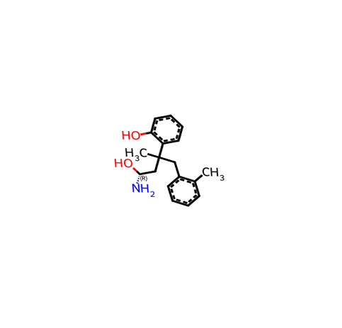 Cc1ccccc1CC(C)(C[C@H](N)O)c1ccccc1O